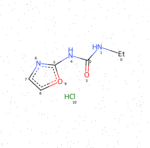 CCNC(=O)Nc1ncco1.Cl